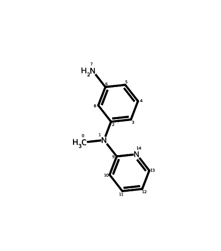 CN(c1cccc(N)c1)c1ccccn1